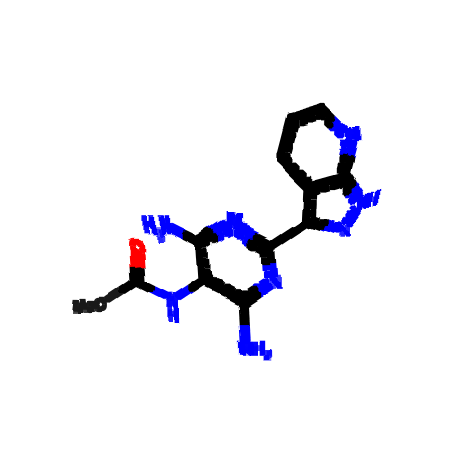 COC(=O)Nc1c(N)nc(-c2n[nH]c3ncccc23)nc1N